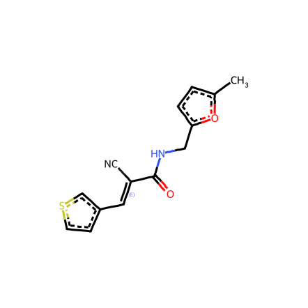 Cc1ccc(CNC(=O)/C(C#N)=C/c2ccsc2)o1